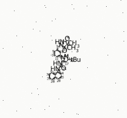 CC1(C)C(=O)NN(Cc2cccc(-n3nc(C(C)(C)C)cc3NC(=O)Nc3cccc4ccccc34)c2)C1=O